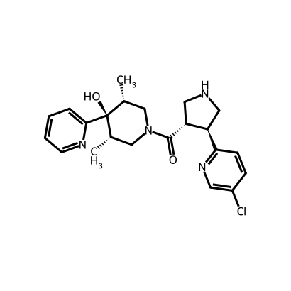 C[C@@H]1CN(C(=O)[C@@H]2CNC[C@H]2c2ccc(Cl)cn2)C[C@H](C)[C@]1(O)c1ccccn1